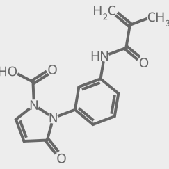 C=C(C)C(=O)Nc1cccc(-n2c(=O)ccn2C(=O)O)c1